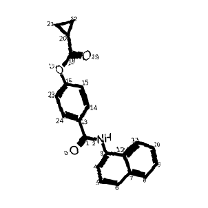 O=C(Nc1cccc2ccccc12)c1ccc(OC(=O)C2CC2)cc1